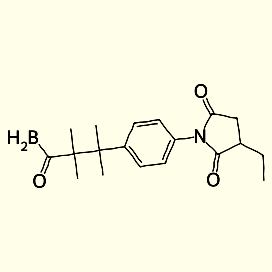 BC(=O)C(C)(C)C(C)(C)c1ccc(N2C(=O)CC(CC)C2=O)cc1